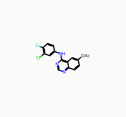 CC(=O)Oc1ccc2ncnc(Nc3ccc(F)c(Cl)c3)c2c1